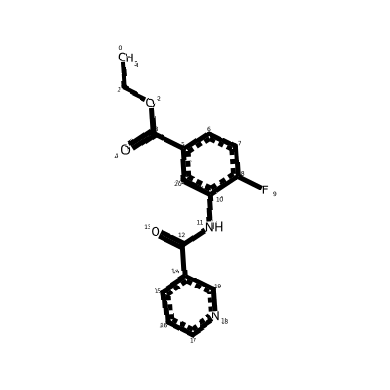 CCOC(=O)c1ccc(F)c(NC(=O)c2cccnc2)c1